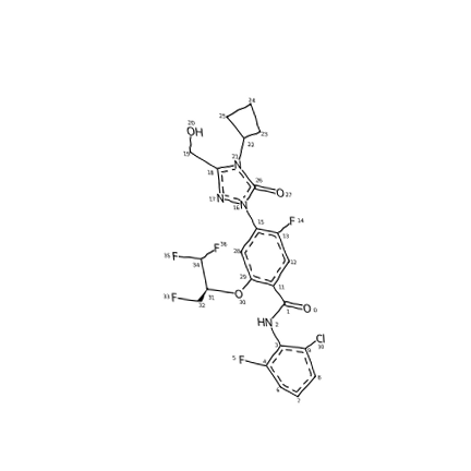 O=C(Nc1c(F)cccc1Cl)c1cc(F)c(-n2nc(CO)n(C3CCC3)c2=O)cc1O[C@@H](CF)C(F)F